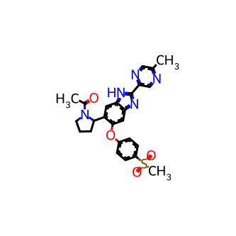 CC(=O)N1CCCC1c1cc2[nH]c(-c3cnc(C)cn3)nc2cc1Oc1ccc(S(C)(=O)=O)cc1